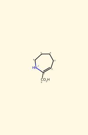 O=C(O)C1=CCCCCN1